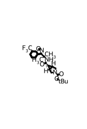 CC(C)(C)OC(=O)N1C[C@@H]2[C@H](C1)[C@H]2C(=O)NC(C)(C)c1noc2c(C(F)(F)F)cccc12